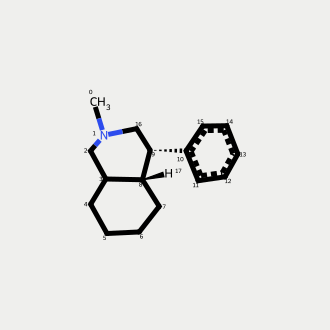 CN1CC2CCCC[C@H]2[C@@H](c2ccccc2)C1